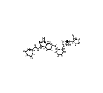 Cn1cccc1NNC(=O)c1ccccc1Sc1ccc2c(/C=C/c3ccccn3)n[nH]c2c1